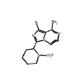 Nc1nccn2c(C3CCCCN3C(=O)O)nc(Br)c12